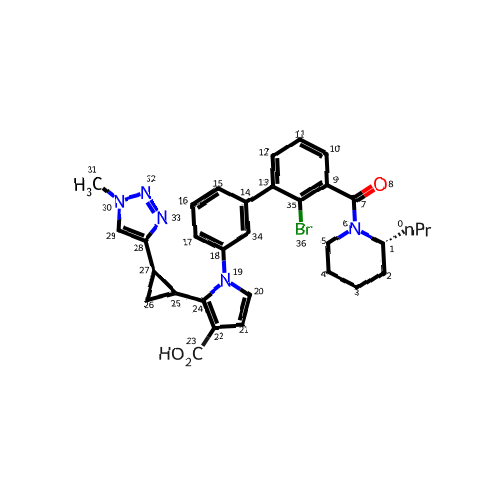 CCC[C@@H]1CCCCN1C(=O)c1cccc(-c2cccc(-n3ccc(C(=O)O)c3C3CC3c3cn(C)nn3)c2)c1Br